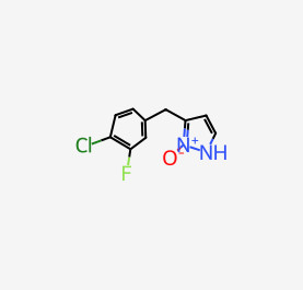 [O-][n+]1[nH]ccc1Cc1ccc(Cl)c(F)c1